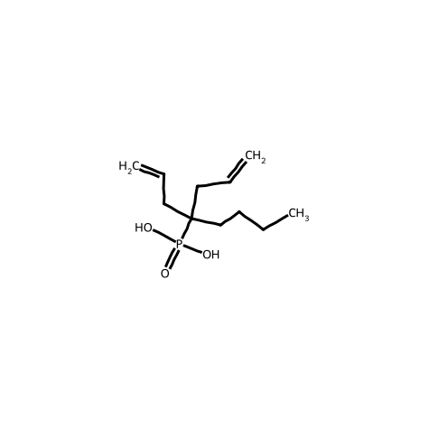 C=CCC(CC=C)(CCCC)P(=O)(O)O